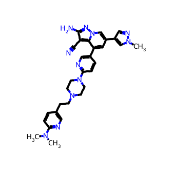 CN(C)c1ccc(CCN2CCN(c3ccc(-c4cc(-c5cnn(C)c5)cn5nc(N)c(C#N)c45)cn3)CC2)cn1